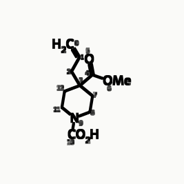 C=CCC1(C(=O)OC)CCN(C(=O)O)CC1